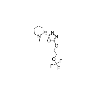 CN1CCCC[C@@H]1c1nnc(OCCOC(F)(F)F)o1